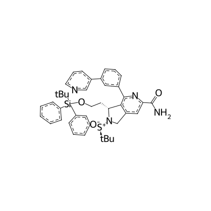 CC(C)(C)[S@@+]([O-])N1Cc2cc(C(N)=O)nc(-c3cccc(-c4cccnc4)c3)c2[C@H]1CCO[Si](c1ccccc1)(c1ccccc1)C(C)(C)C